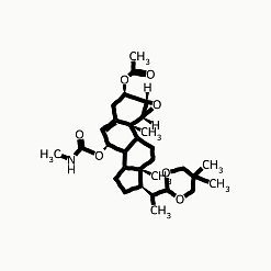 CNC(=O)O[C@@H]1C=C2C[C@@H](OC(C)=O)[C@@H]3O[C@@H]3[C@]2(C)C2CC[C@@]3(C)C(CC[C@@H]3C(C)C3OCC(C)(C)CO3)C21